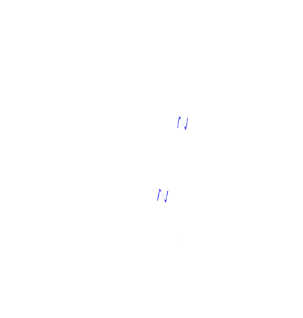 CC1(C)CCC(N2CCc3ccccc32)=N1